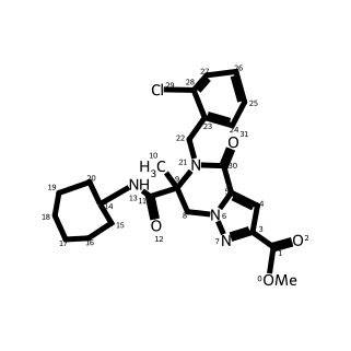 COC(=O)c1cc2n(n1)CC(C)(C(=O)NC1CCCCCC1)N(Cc1ccccc1Cl)C2=O